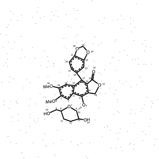 COc1cc2c(O[C@H]3OC(CO)CCC3O)c3c(c(-c4ccc5c(c4)OCO5)c2cc1OC)C(=O)OC3